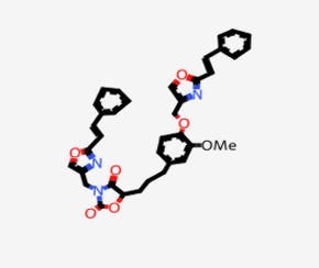 COc1cc(CCCC2OC(=O)N(Cc3coc(/C=C/c4ccccc4)n3)C2=O)ccc1OCc1coc(/C=C/c2ccccc2)n1